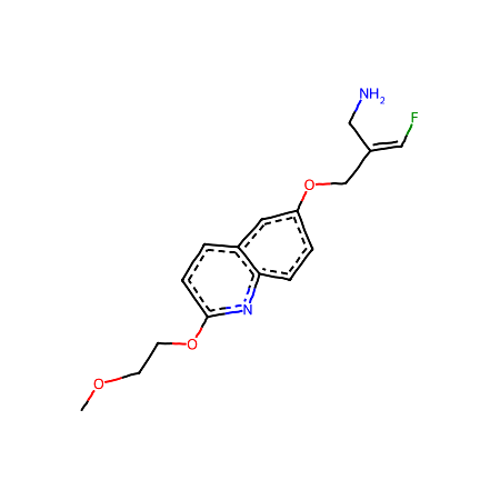 COCCOc1ccc2cc(OC/C(=C/F)CN)ccc2n1